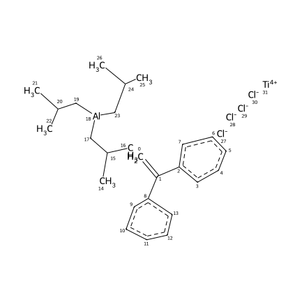 C=C(c1ccccc1)c1ccccc1.CC(C)[CH2][Al]([CH2]C(C)C)[CH2]C(C)C.[Cl-].[Cl-].[Cl-].[Cl-].[Ti+4]